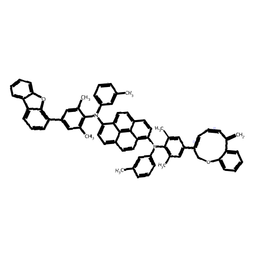 C=C1/C=C\C=C(\c2cc(C)c(N(c3cccc(C)c3)c3ccc4ccc5c(N(c6cccc(C)c6)c6c(C)cc(-c7cccc8c7oc7ccccc78)cc6C)ccc6ccc3c4c65)c(C)c2)COc2ccccc21